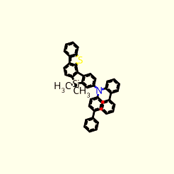 C[Si]1(C)c2cc(N(c3ccc(-c4ccccc4)cc3)c3ccccc3-c3ccccc3)ccc2-c2c1ccc1c2sc2ccccc21